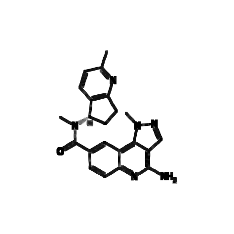 Cc1ccc2c(n1)CC[C@@H]2N(C)C(=O)c1ccc2nc(N)c3cnn(C)c3c2c1